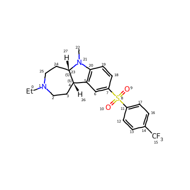 CCN1CC[C@H]2c3cc(S(=O)(=O)c4ccc(C(F)(F)F)cc4)ccc3N(C)[C@H]2CC1